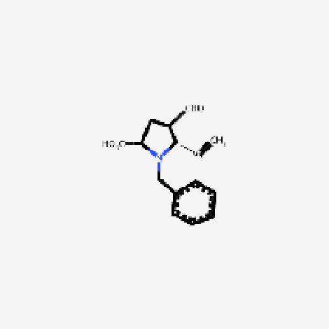 C=C[C@H]1C(C=O)CC(C(=O)O)N1Cc1ccccc1